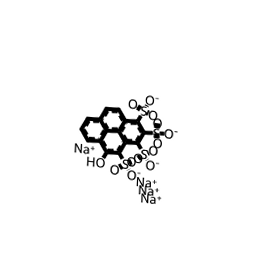 O=S(=O)([O-])c1c(S(=O)(=O)[O-])c2ccc3cccc4c(O)c(S(=O)(=O)[O-])c(c1S(=O)(=O)[O-])c2c34.[Na+].[Na+].[Na+].[Na+]